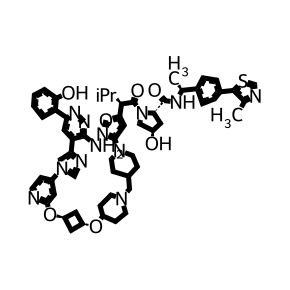 Cc1ncsc1-c1ccc([C@H](C)NC(=O)[C@@H]2C[C@@H](O)CN2C(=O)[C@@H](c2cc(N3CCC(CN4CCC(O[C@H]5C[C@H](Oc6cc(-n7cnc(-c8cc(-c9ccccc9O)nnc8N)c7)ccn6)C5)CC4)CC3)no2)C(C)C)cc1